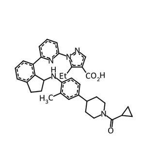 CCc1c(C(=O)O)cnn1-c1cccc(-c2cccc3c2C(Nc2ccc(C4CCN(C(=O)C5CC5)CC4)cc2C)CC3)n1